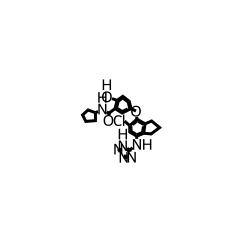 O=C(NC1CCCC1)c1cc(Oc2c(Cl)cc(Nc3nnn[nH]3)c3c2CCC3)ccc1O